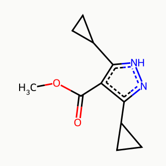 COC(=O)c1c(C2CC2)n[nH]c1C1CC1